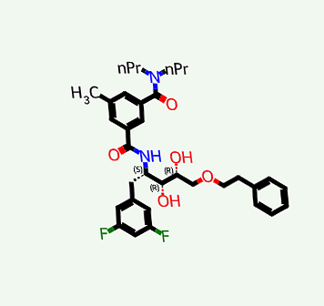 CCCN(CCC)C(=O)c1cc(C)cc(C(=O)N[C@@H](Cc2cc(F)cc(F)c2)[C@@H](O)[C@H](O)COCCc2ccccc2)c1